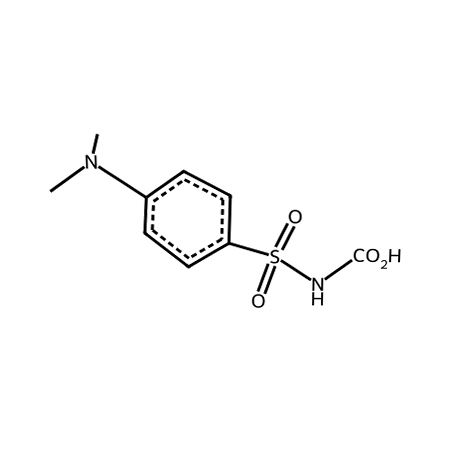 CN(C)c1ccc(S(=O)(=O)NC(=O)O)cc1